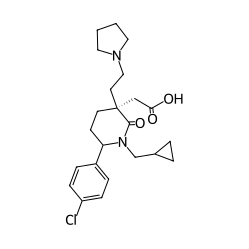 O=C(O)C[C@@]1(CCN2CCCC2)CCC(c2ccc(Cl)cc2)N(CC2CC2)C1=O